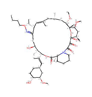 CCCCO/N=C1/C[C@H](O)[C@@H](C)[C@@H](/C(C)=C/[C@@H]2CC[C@@H](O)[C@H](OC)C2)OC(=O)[C@@H]2CCCCN2C(=O)C(=O)[C@]2(O)O[C@H]([C@@H](OC)C[C@@H](C)C/C(C)=C/[C@H]1CC)[C@@H](OC)C[C@H]2C